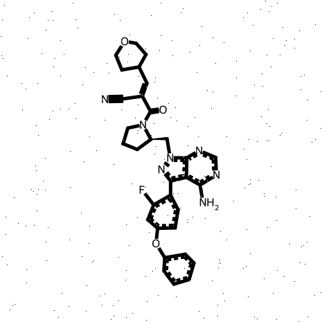 N#CC(=CC1CCOCC1)C(=O)N1CCC[C@@H]1Cn1nc(-c2ccc(Oc3ccccc3)cc2F)c2c(N)ncnc21